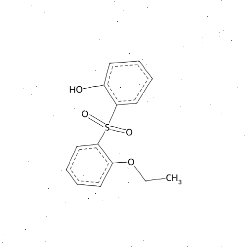 CCOc1ccccc1S(=O)(=O)c1ccccc1O